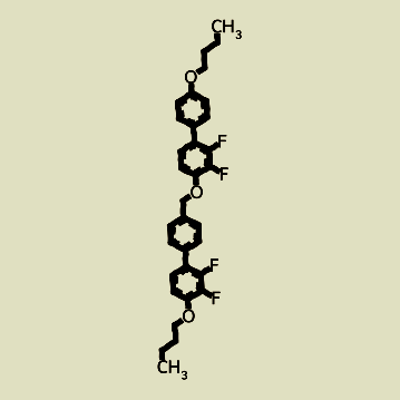 CCCCOc1ccc(-c2ccc(OCc3ccc(-c4ccc(OCCCC)c(F)c4F)cc3)c(F)c2F)cc1